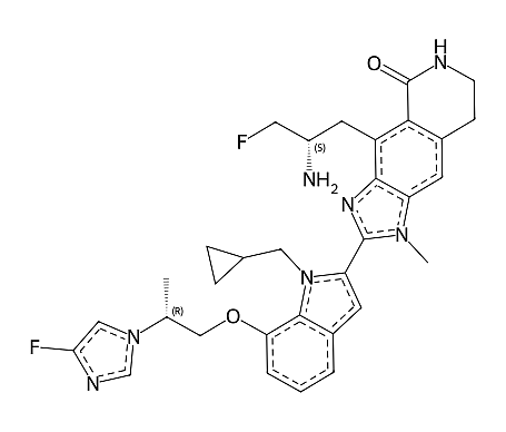 C[C@H](COc1cccc2cc(-c3nc4c(C[C@H](N)CF)c5c(cc4n3C)CCNC5=O)n(CC3CC3)c12)n1cnc(F)c1